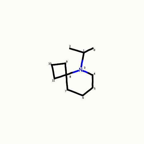 CC(C)N1CCCCC12CCC2